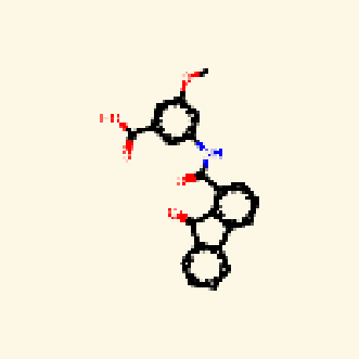 COc1cc(NC(=O)c2cccc3c2C(=O)c2ccccc2-3)cc(C(=O)O)c1